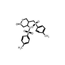 Cc1ccc(S(=O)(=O)CC2CS[S+]([O-])CC2OS(=O)(=O)c2ccc(C)cc2)cc1